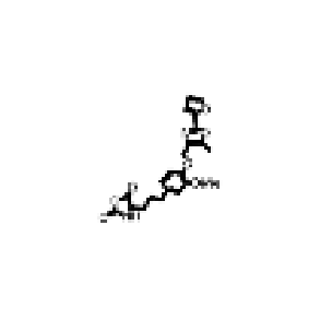 COc1cc(CCCC2NC(=O)OC2=O)ccc1OCc1nc(-c2ccco2)oc1C